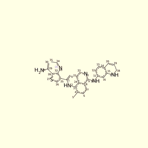 C=C(Nc1c(C)ccc2c(Nc3ccc4c(c3)NCC=C4)nccc12)c1csc(C(=C)N)c1/N=C\C